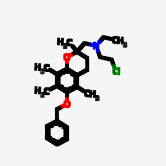 CCN(CCCl)CC1(C)CCc2c(C)c(OCc3ccccc3)c(C)c(C)c2O1